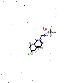 CC(C)(C)[S+]([O-])N=Cc1ccc2cc(Br)ccc2n1